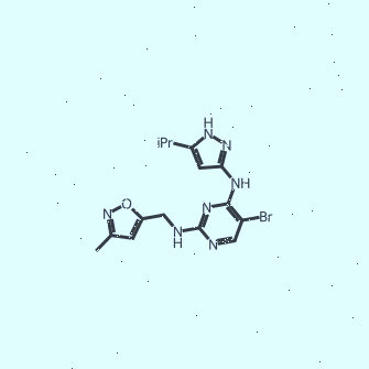 Cc1cc(CNc2ncc(Br)c(Nc3cc(C(C)C)[nH]n3)n2)on1